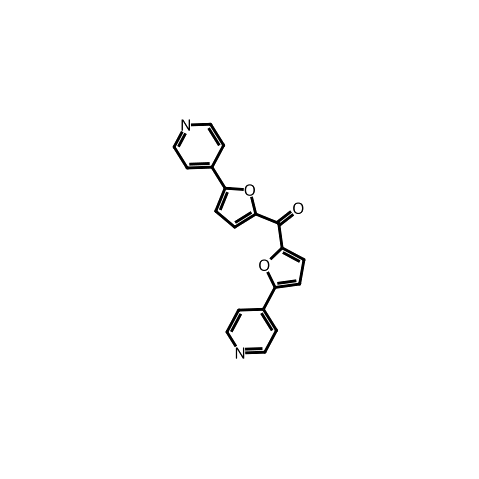 O=C(c1ccc(-c2ccncc2)o1)c1ccc(-c2ccncc2)o1